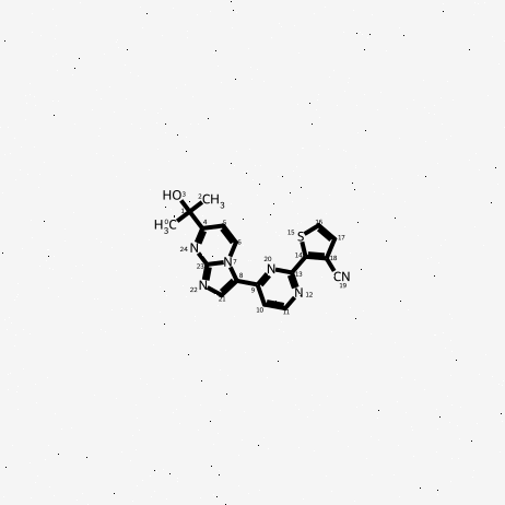 CC(C)(O)c1ccn2c(-c3ccnc(-c4sccc4C#N)n3)cnc2n1